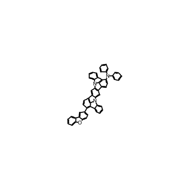 c1ccc(N(c2ccccc2)c2ccc3c4cc5c(cc4n4c6ccccc6c2c34)c2ccc(-c3ccc4oc6ccccc6c4c3)c3c4ccccc4n5c23)cc1